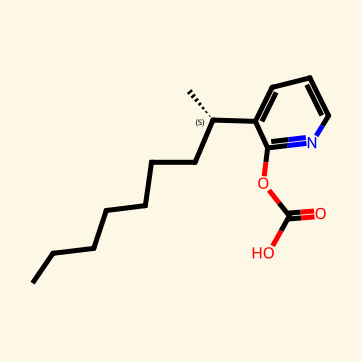 CCCCCCC[C@H](C)c1cccnc1OC(=O)O